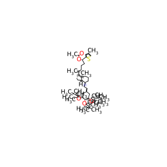 CC(=O)OC(CCC[C@@H](C)[C@H]1CC[C@H]2/C(=C/C=C3C[C@@H](O[Si](C)(C)C(C)(C)C)C(O[Si](C)(C)C(C)(C)C)[C@H](O[Si](C)(C)C(C)(C)C)C3)CCC[C@]12C)c1cc(C)cs1